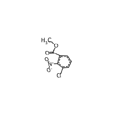 COC(=O)c1cccc(Cl)c1[N+](=O)[O-]